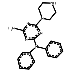 Nc1nc(N2CCNCC2)nc(N(c2ccccc2)c2ccccc2)n1